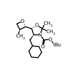 C[C@H]1CO[C@@H]1[C@@H]1OC(C)(C)N(C(=O)OC(C)(C)C)[C@H]1CC1CCCCC1